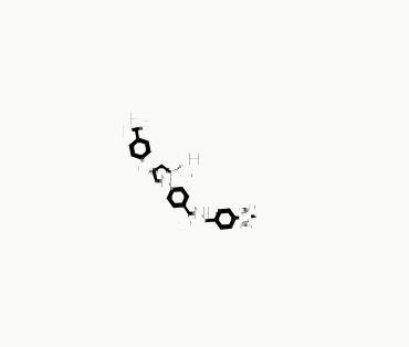 CCS(=O)(=O)c1ccc(CNC(=O)c2ccc(N3C[C@H](Oc4ccc(C(F)(F)F)cc4)C[C@H]3C(C)=O)cc2)cc1